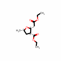 CCOC(=O)C[C@H]1O[C@@H](C)C[C@H]1C(=O)OCC